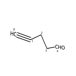 C#CC[CH]C=O